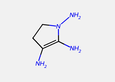 NC1=C(N)N(N)CC1